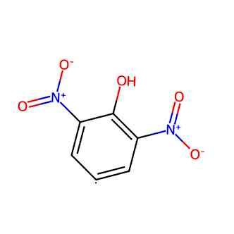 O=[N+]([O-])c1c[c]cc([N+](=O)[O-])c1O